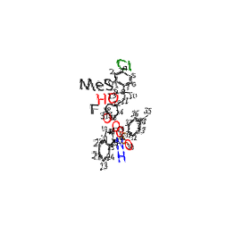 CSc1cc(Cl)ccc1C(C)(C)CC(O)(CC(=O)O[C@@H]1Cc2ccccc2[C@@H]1NS(=O)(=O)c1ccc(C)cc1)C(F)(F)F